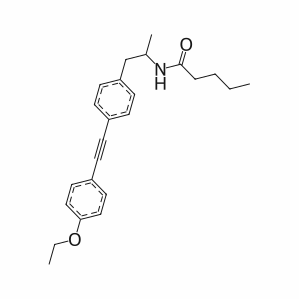 CCCCC(=O)NC(C)Cc1ccc(C#Cc2ccc(OCC)cc2)cc1